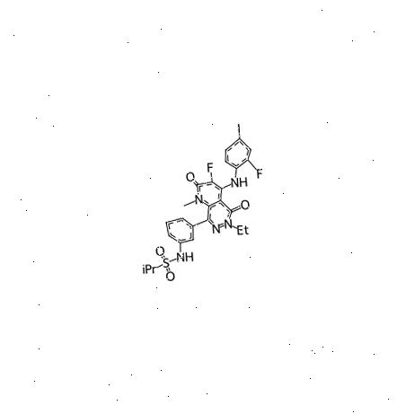 CCn1nc(-c2cccc(NS(=O)(=O)C(C)C)c2)c2c(c(Nc3ccc(I)cc3F)c(F)c(=O)n2C)c1=O